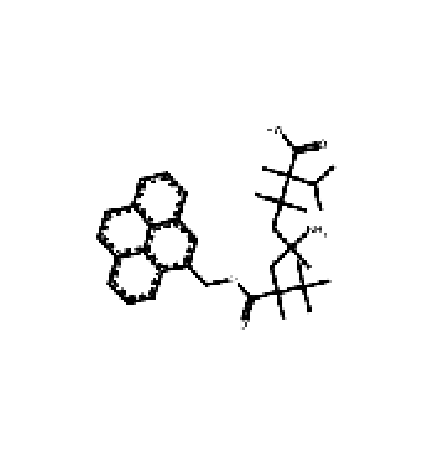 CC(C)C(C)(C(=O)O)C(C)(C)CC(C)(N)CC(C)(C(=O)OCc1cc2cccc3ccc4cccc1c4c32)C(C)(C)C